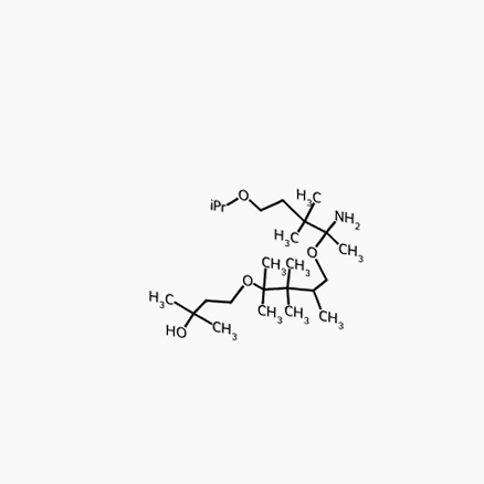 CC(C)OCCC(C)(C)C(C)(N)OCC(C)C(C)(C)C(C)(C)OCCC(C)(C)O